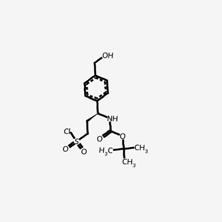 CC(C)(C)OC(=O)N[C@@H](CCS(=O)(=O)Cl)c1ccc(CO)cc1